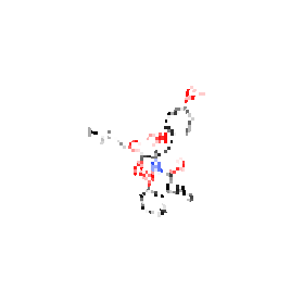 CCOC(=O)C(O)(Cc1ccc(O)cc1)N(Oc1ccccc1)C(C)=O